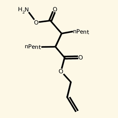 C=CCOC(=O)C(CCCCC)C(CCCCC)C(=O)ON